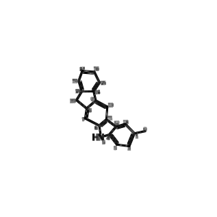 Cc1ccc2[nH]c3cc4c(cc3c2c1)-c1ccccc1C4